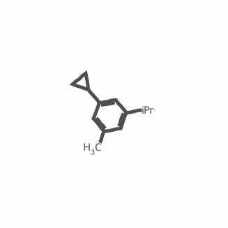 C[C](C)c1cc(C)cc(C2CC2)c1